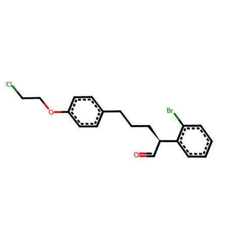 O=C[C@@H](CCCc1ccc(OCCCl)cc1)c1ccccc1Br